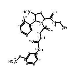 CC(C)CNC(=O)C1CC(C(=O)O)C(c2ccccc2F)N1C(=O)CNC(=O)Nc1cccc(CC(=O)O)c1